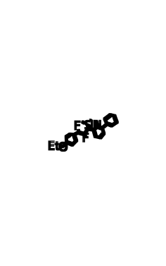 CCOc1ccc(C(F)=C(F)C(c2cccc(-c3ccccc3)c2C)[SiH](C)C)cc1